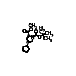 COC(=O)[C@@H]1C[C@@H](C2CCCC2)CN1C(=O)OC(C)(C)C